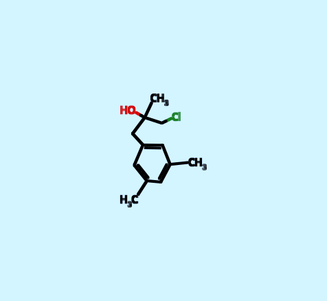 Cc1cc(C)cc(CC(C)(O)CCl)c1